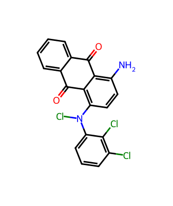 Nc1ccc(N(Cl)c2cccc(Cl)c2Cl)c2c1C(=O)c1ccccc1C2=O